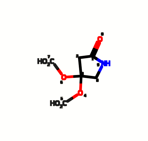 O=C1CC(OC(=O)O)(OC(=O)O)CN1